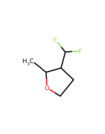 CC1OCCC1C(F)F